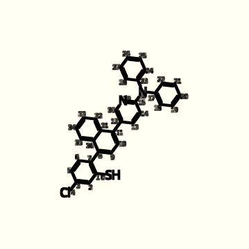 Sc1cc(Cl)ccc1-c1ccc(-c2ccc(N(c3ccccc3)c3ccccc3)nc2)c2ccccc12